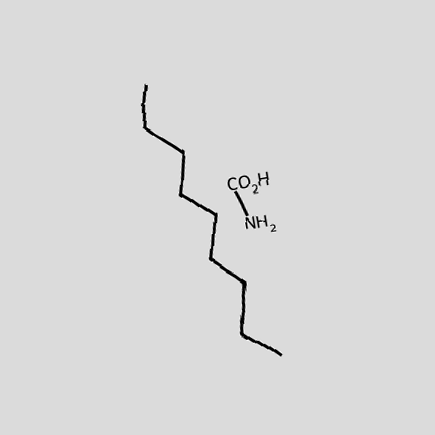 CCCCCCCCC.NC(=O)O